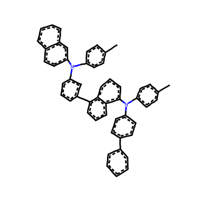 Cc1ccc(N(c2cccc(-c3cccc4c(N(c5ccc(C)cc5)c5ccc(-c6ccccc6)cc5)cccc34)c2)c2ccc3ccccc3c2)cc1